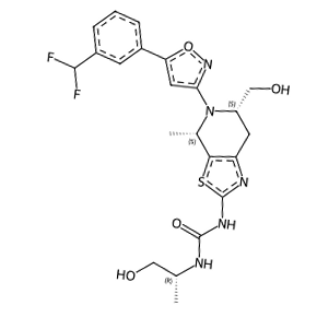 C[C@H](CO)NC(=O)Nc1nc2c(s1)[C@H](C)N(c1cc(-c3cccc(C(F)F)c3)on1)[C@H](CO)C2